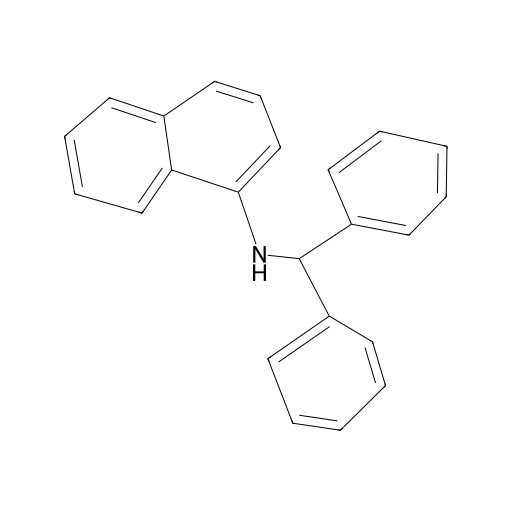 c1ccc(C(Nc2cccc3ccccc23)c2ccccc2)cc1